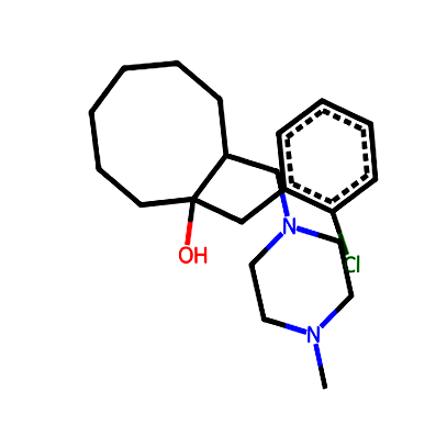 CN1CCN(CC2CCCCCCC2(O)Cc2ccccc2Cl)CC1